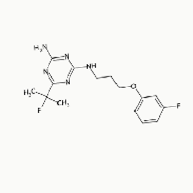 CC(C)(F)c1nc(N)nc(NCCCOc2cccc(F)c2)n1